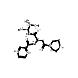 CCC[C@H](NC(=O)[C@@H](CC(=O)N1CCOCC1)NC(=O)c1cnccn1)B(O)O